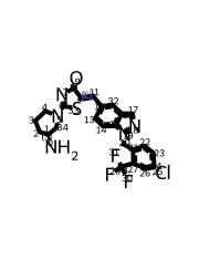 N[C@H]1CCCN(C2=NC(=O)/C(=C/c3ccc4c(cnn4Cc4ccc(Cl)cc4C(F)(F)F)c3)S2)C1